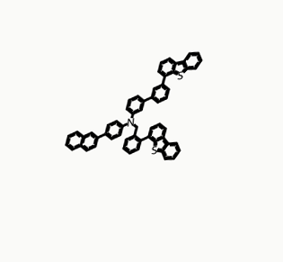 c1cc(-c2cccc(N(Cc3ccccc3-c3cccc4c3sc3ccccc34)c3ccc(-c4ccc5ccccc5c4)cc3)c2)cc(-c2cccc3c2sc2ccccc23)c1